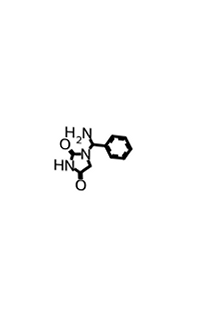 NC(c1ccccc1)N1CC(=O)NC1=O